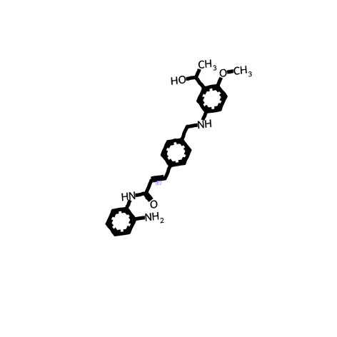 COc1ccc(NCc2ccc(/C=C/C(=O)Nc3ccccc3N)cc2)cc1C(C)O